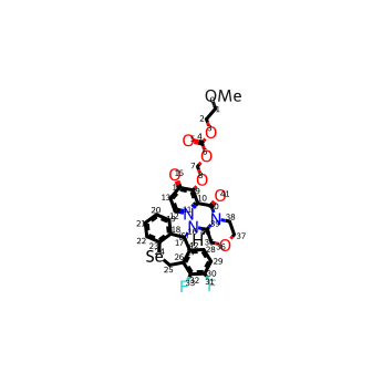 COCCOC(=O)OCOc1c2n(ccc1=O)N([C@@H]1c3ccccc3[Se]Cc3c1ccc(F)c3F)[C@@H]1COCCN1C2=O